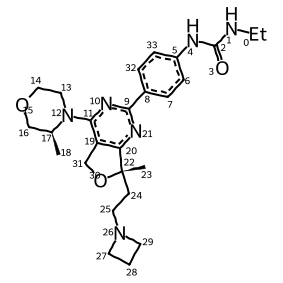 CCNC(=O)Nc1ccc(-c2nc(N3CCOC[C@@H]3C)c3c(n2)[C@](C)(CCN2CCC2)OC3)cc1